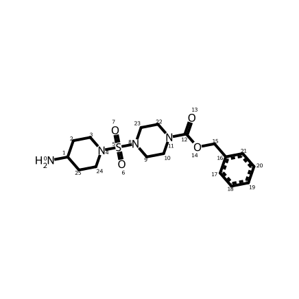 NC1CCN(S(=O)(=O)N2CCN(C(=O)OCc3ccccc3)CC2)CC1